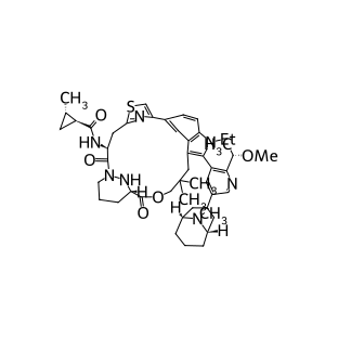 CCn1c(-c2cc(C3C[C@H]4CCC[C@@H](C3)N4C)cnc2[C@H](C)OC)c2c3cc(ccc31)-c1csc(n1)C[C@H](NC(=O)[C@H]1C[C@@H]1C)C(=O)N1CCC[C@H](N1)C(=O)OCC(C)(C)C2